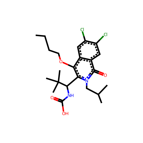 CCCCOc1c(C(NC(=O)O)C(C)(C)C)n(CC(C)C)c(=O)c2cc(Cl)c(Cl)cc12